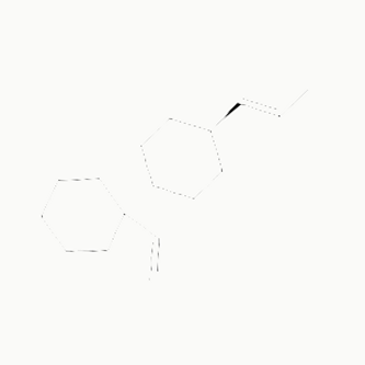 C/C=C/[C@H]1CC[C@H](C2(C=O)CCCCC2)CC1